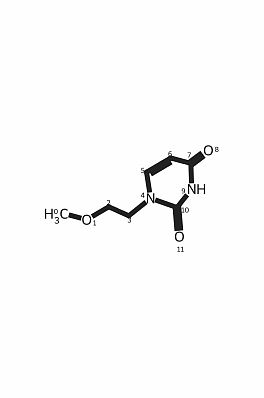 COCCn1ccc(=O)[nH]c1=O